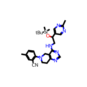 Cc1ccc(N2CCc3ncnc(NCC(O[Si](C)(C)C(C)(C)C)c4cnc(C)nc4)c3C2)c(C#N)c1